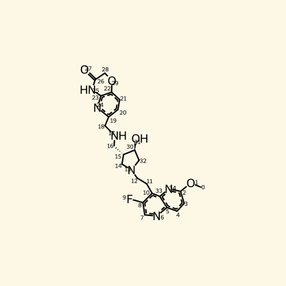 COc1ccc2ncc(F)c(CCN3C[C@H](CNCc4ccc5c(n4)NC(=O)CO5)[C@@H](O)C3)c2n1